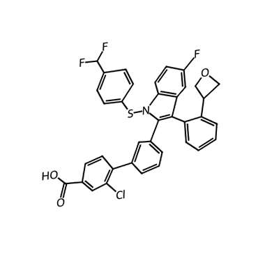 O=C(O)c1ccc(-c2cccc(-c3c(-c4ccccc4C4COC4)c4cc(F)ccc4n3Sc3ccc(C(F)F)cc3)c2)c(Cl)c1